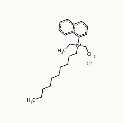 CCCCCCCCCC[N+](CC)(CC)c1cccc2ccccc12.[Cl-]